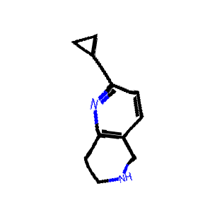 c1cc2c(nc1C1CC1)CCNC2